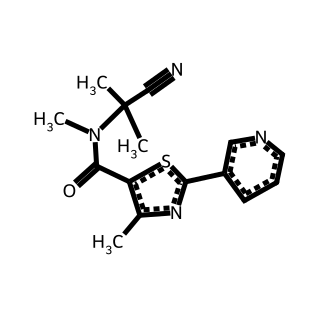 Cc1nc(-c2cccnc2)sc1C(=O)N(C)C(C)(C)C#N